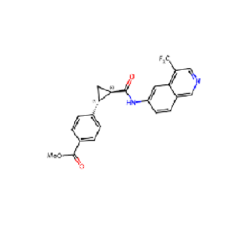 COC(=O)c1ccc([C@@H]2C[C@H]2C(=O)Nc2ccc3cncc(C(F)(F)F)c3c2)cc1